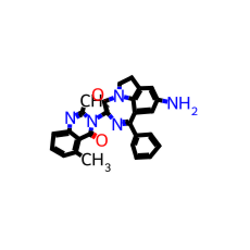 Cc1cccc2nc(C)n(C3N=C(c4ccccc4)c4cc(N)cc5c4N(CC5)C3=O)c(=O)c12